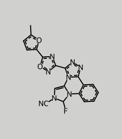 Cc1ccc(-c2nc(-c3nnc4n3C3=CN(C#N)C(F)N3c3ccccc3-4)no2)o1